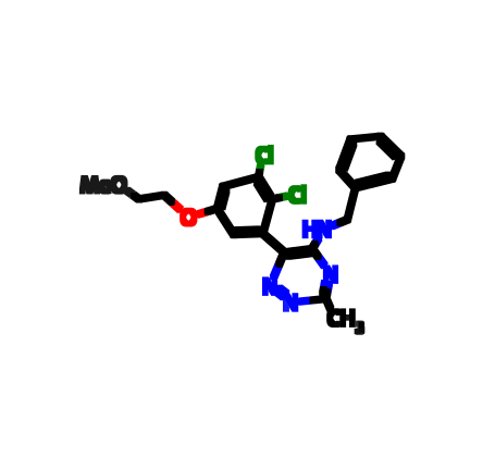 COCCOc1cc(Cl)c(Cl)c(-c2nnc(C)nc2NCc2ccccc2)c1